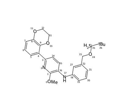 COc1nc(-c2cccc3c2OCCO3)ccc1Nc1cccc(CO[SiH2]C(C)(C)C)c1